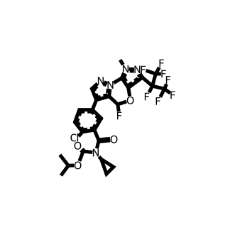 CC(C)OC(=O)N(C(=O)c1cc(-c2cnn3c2C(F)Oc2c(C(F)(C(F)(F)F)C(F)(F)F)nn(C)c2-3)ccc1Cl)C1CC1